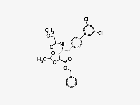 COCC(=O)N[C@H](Cc1ccc(-c2cc(Cl)cc(Cl)c2)cc1)[C@H]1OC(C)O[C@@H]1C(=O)OCc1ccccc1